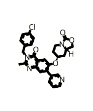 Cc1nc2cc(-c3cccnc3)c(O[C@H]3CCN4C(=O)OC[C@@H]4C3)cc2c(=O)n1Cc1ccc(Cl)cc1